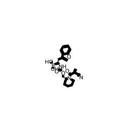 C=C(C#N)C(=O)N1CCCC[C@@H]1COC(=O)N[C@@H](Cc1coc2ccccc12)B(O)O